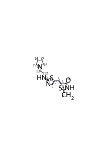 C=c1[nH]c(=O)/c(=C/c2cnc(NCCN3CCCC3)s2)s1